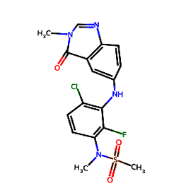 CN(c1ccc(Cl)c(Nc2ccc3ncn(C)c(=O)c3c2)c1F)S(C)(=O)=O